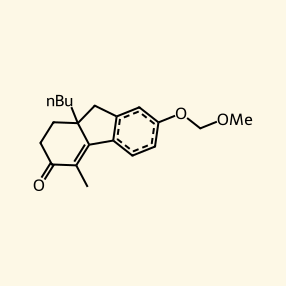 CCCCC12CCC(=O)C(C)=C1c1ccc(OCOC)cc1C2